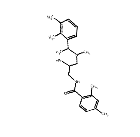 CCCC(CNC(=O)c1ccc(C)cc1C)CN(C)C(C)c1cccc(C)c1C